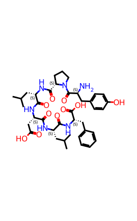 CC(C)C[C@H](NC(=O)[C@H](CC(=O)O)NC(=O)[C@H](CC(C)C)NC(=O)[C@@H]1CCCN1C(=O)[C@@H](N)Cc1ccc(O)cc1)C(=O)N[C@@H](Cc1ccccc1)C(=O)O